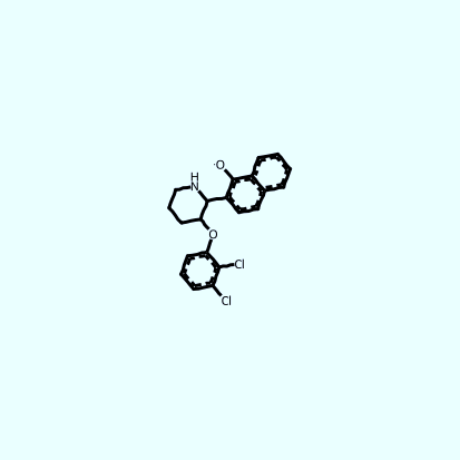 [O]c1c(C2NCCCC2Oc2cccc(Cl)c2Cl)ccc2ccccc12